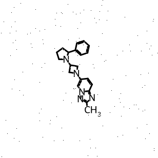 Cc1nc2ccc(N3CC(N4CCCC4c4ccccc4)C3)cn2n1